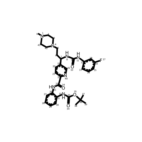 CN1CCN(CCC(NC(=O)Nc2cccc(F)c2)c2ccc(C(=O)Nc3ccccc3NC(=O)OC(C)(C)C)nc2)CC1